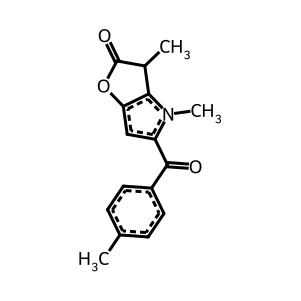 Cc1ccc(C(=O)c2cc3c(n2C)C(C)C(=O)O3)cc1